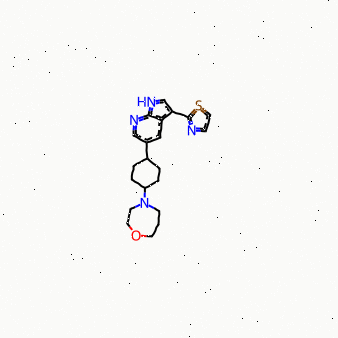 c1csc(-c2c[nH]c3ncc(C4CCC(N5CCCOCC5)CC4)cc23)n1